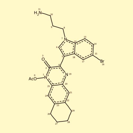 CC(=O)On1c(=O)c(-c2cn(CCCN)c3ccc(Br)cc23)nc2cc3c(cc21)CCCC3